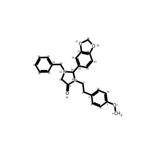 COc1ccc(CCN2C(=O)CN(Cc3ccccc3)C2c2ccc3c(c2)OCO3)cc1